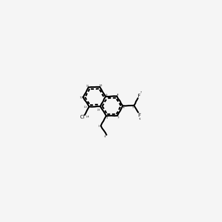 CCc1cc(C(F)F)cc2cccc(Cl)c12